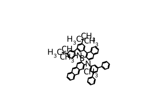 Cc1c2c(cc3cc4ccccc4cc13)B1c3c(cc4ccccc4c3-c3cc(C(C)(C)C)cc4c5cc(C(C)(C)C)ccc5n1c34)N2c1cc(-c2ccccc2)cc(-c2ccccc2)c1